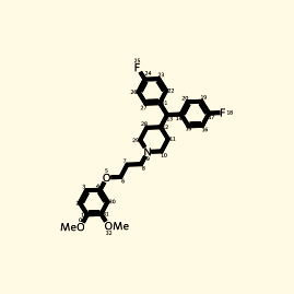 COc1ccc(OCCCN2CCC(C(c3ccc(F)cc3)c3ccc(F)cc3)CC2)cc1OC